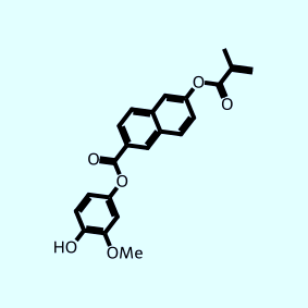 C=C(C)C(=O)Oc1ccc2cc(C(=O)Oc3ccc(O)c(OC)c3)ccc2c1